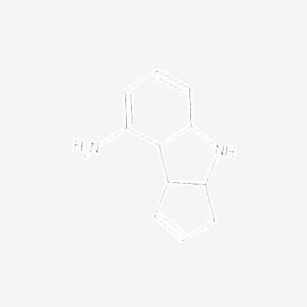 NC1=CC=CC2NC3CC=CC3C12